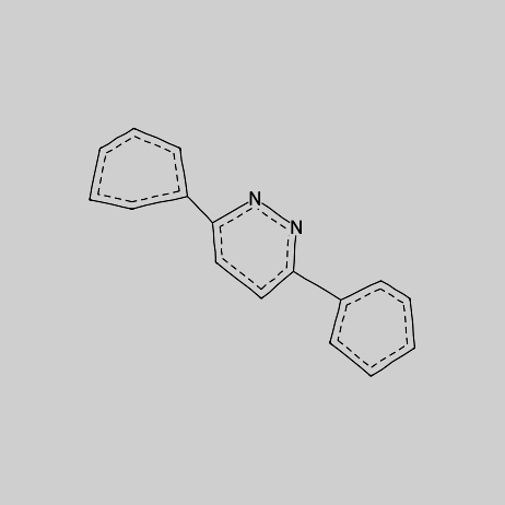 c1ccc(-c2ccc(-c3ccccc3)nn2)cc1